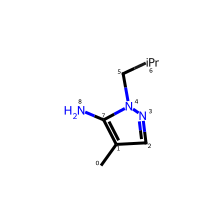 Cc1cnn(CC(C)C)c1N